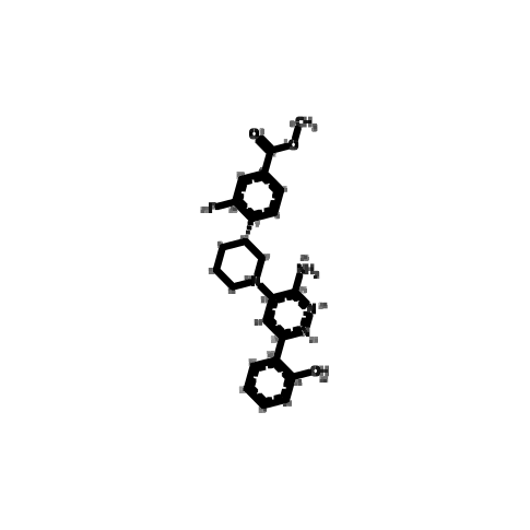 COC(=O)c1ccc([C@H]2CCCN(c3cc(-c4ccccc4O)nnc3N)C2)c(F)c1